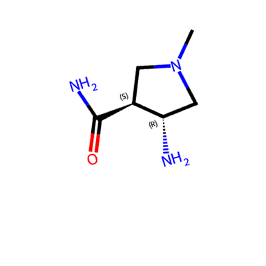 CN1C[C@H](C(N)=O)[C@@H](N)C1